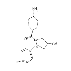 N[C@H]1CC[C@H](C(=O)N2CC(O)C[C@@H]2c2ccc(F)cc2)CC1